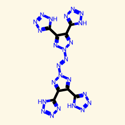 N(=Nn1nc(-c2nnn[nH]2)c(-c2nnn[nH]2)n1)n1nc(-c2nnn[nH]2)c(-c2nnn[nH]2)n1